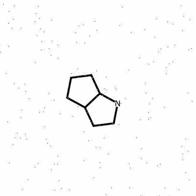 C1CC2CC[N]C2C1